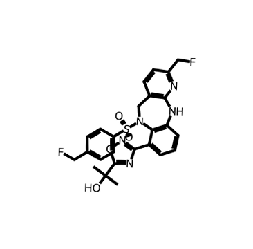 CC(C)(O)c1nc(-c2cccc3c2N(S(=O)(=O)c2ccc(CF)cc2)Cc2ccc(CF)nc2N3)no1